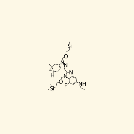 CCNc1cc(F)c2c(c1)nc(-c1nn(COCC[Si](C)(C)C)c3c1C[C@@H]1C[C@]1(C)C3)n2COCC[Si](C)(C)C